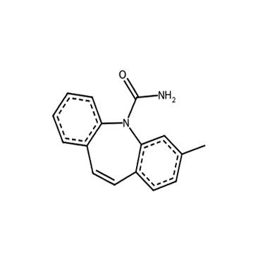 Cc1ccc2c(c1)N(C(N)=O)c1ccccc1C=C2